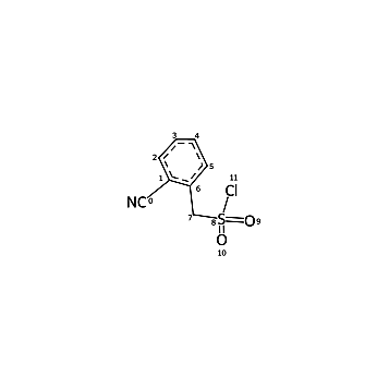 N#Cc1ccccc1CS(=O)(=O)Cl